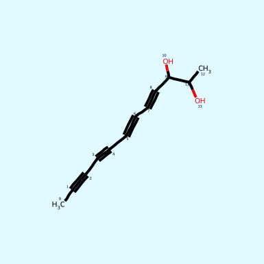 CC#CC#CC#CC#CC(O)C(C)O